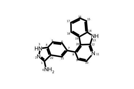 Nc1n[nH]c2ccc(-c3ccnc4[nH]c5ccccc5c34)cc12